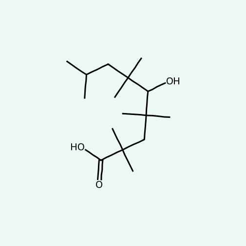 CC(C)CC(C)(C)C(O)C(C)(C)CC(C)(C)C(=O)O